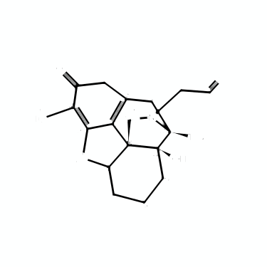 C=CCN1CC[C@]23C4=C5CC(=O)C(O)=C4OC2CCC[C@@]3(O)[C@H]1C5